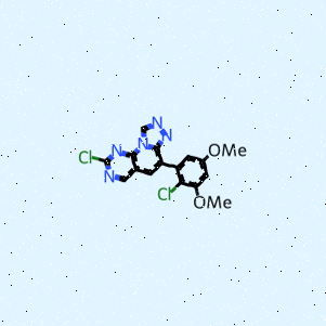 COc1cc(OC)c(Cl)c(-c2cc3cnc(Cl)nc3n3cnnc23)c1